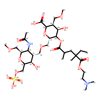 CCC(C)(CC(C)C(=O)OC1[C@H](COC[C@H]2C(NC(C)=O)[C@H](COC)OC(COS(=O)(=O)O)[C@@H]2O)OC(C(=O)O)[C@@H](COC)[C@H]1O)C(=O)OCCN(C)C